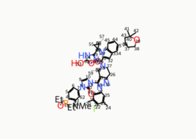 CCP(=O)(CC)c1ccc(-n2ccn(-c3c4c(nn3-c3cc(C)c(F)c(C)c3)CCN(C(=O)c3cc5cc([C@H]6CCOC(C)(C)C6)ccc5n3[C@@]3(C5=NOC(O)N5)C[C@@H]3C)[C@H]4C)c2=O)cc1NC